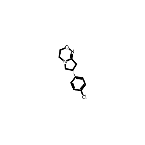 Clc1ccc([C@H]2CC3=NOCCN3C2)cc1